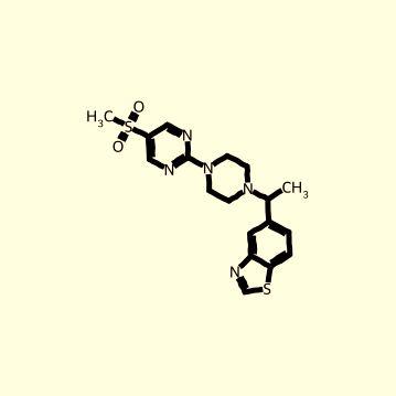 CC(c1ccc2scnc2c1)N1CCN(c2ncc(S(C)(=O)=O)cn2)CC1